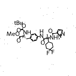 COC(=O)[C@@H](Cc1ccc(NC(=O)[C@](C)(NC(=O)c2ccnn2C)C2CCC(F)(F)CC2)cc1)NC(=O)OC(C)(C)C